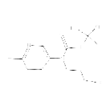 CC(C)(C)OC(=O)N(CCCF)c1ccc(Cl)nc1